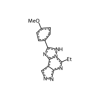 CCc1nc2nncc-2c2nc(-c3ccc(OC)cc3)[nH]n12